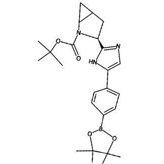 CC(C)(C)OC(=O)N1C2CC2C[C@H]1c1ncc(-c2ccc(B3OC(C)(C)C(C)(C)O3)cc2)[nH]1